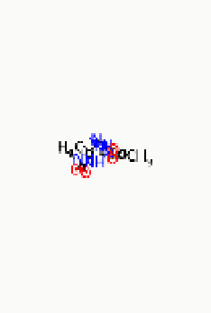 CC[C@@H]1C[C@H](Nc2c(NCC3CC3)c(=O)c2=O)C[C@@H]1c1nnc2cnc3c(ccn3S(=O)(=O)c3ccc(C)cc3)n12